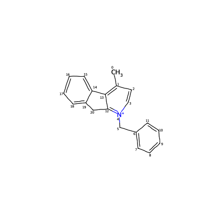 Cc1cc[n+](Cc2ccccc2)c2c1-c1ccccc1C2